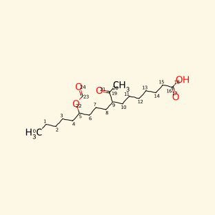 CCCCCC(CCCC(CCCCCCC(=O)O)C(C)=O)OC=O